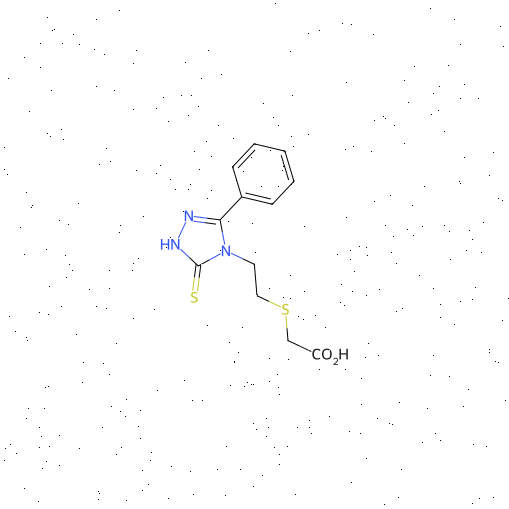 O=C(O)CSCCn1c(-c2ccccc2)n[nH]c1=S